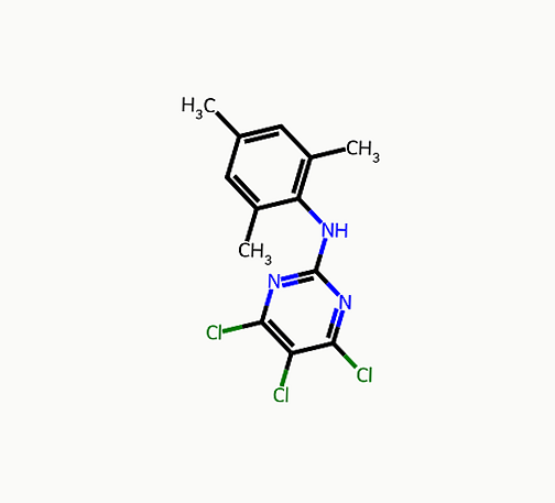 Cc1cc(C)c(Nc2nc(Cl)c(Cl)c(Cl)n2)c(C)c1